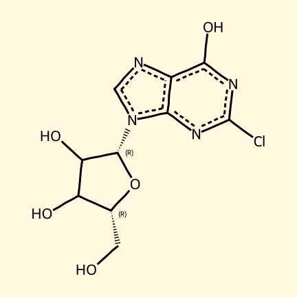 OC[C@H]1O[C@@H](n2cnc3c(O)nc(Cl)nc32)C(O)C1O